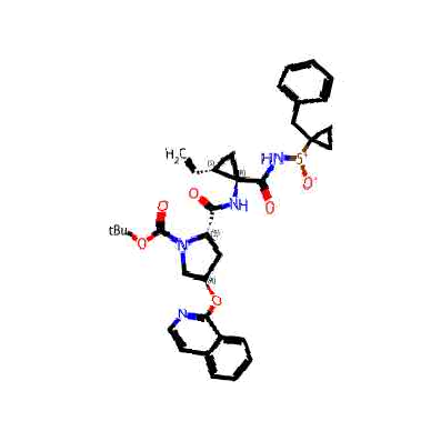 C=C[C@@H]1C[C@]1(NC(=O)[C@@H]1C[C@@H](Oc2nccc3ccccc23)CN1C(=O)OC(C)(C)C)C(=O)N[S+]([O-])C1(Cc2ccccc2)CC1